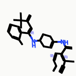 C#C/C(C)=C(\C=C/CC)C(=C)NC1=CCC(N/C(=C/C(=C)C(C)(C)C)c2ccccc2C)CC1